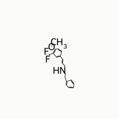 COc1ccc(C=CCNCCc2ccccc2)cc1C(F)F